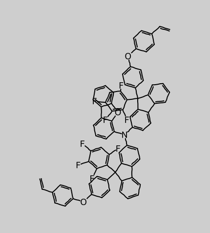 C=Cc1ccc(Oc2ccc(C3(c4c(F)cc(F)c(F)c4F)c4ccccc4-c4ccc(N(c5ccc6c(c5)C(c5ccc(Oc7ccc(C=C)cc7)cc5)(c5c(F)cc(F)c(F)c5F)c5ccccc5-6)c5cccc6c5oc5ccccc56)cc43)cc2)cc1